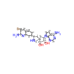 Nc1nc2cc(C3C[C@@]4(CN3)C[C@@H](n3ccc5c(N)ncnc53)[C@H](O)[C@@H]4O)ccc2cc1Br